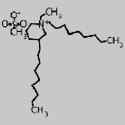 CCCCCCCCCC1CCC[N+](CC)(CCCCCCCCC)C1.CS(=O)(=O)[O-]